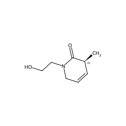 C[C@H]1C=CCN(CCO)C1=O